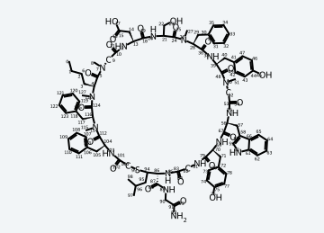 CCCC[C@H]1C(=O)N(C)CC(=O)N[C@@H](CC(=O)O)C(=O)NC(CO)C(=O)N(C)[C@@H](Cc2ccccc2)C(=O)N[C@@H](Cc2ccc(O)cc2)C(=O)N(C)CC(=O)N[C@@H](Cc2c[nH]c3ccccc23)C(=O)N[C@@H](Cc2ccc(O)cc2)C(=O)NCC(=O)N[C@H](C(=O)NCC(N)=O)C(CC(C)C)SCC(=O)N[C@@H](Cc2ccccc2)C(=O)N(C)[C@@H](Cc2ccccc2)C(=O)N1C